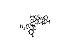 C[C@@H](NC(=O)c1cn2c(c(O)c1=O)C(=O)N1C3CC[C@@H](C3)O[C@@H]1C2)c1ccc(F)cc1